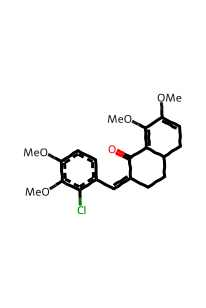 COC1=CCC2CCC(=Cc3ccc(OC)c(OC)c3Cl)C(=O)C2=C1OC